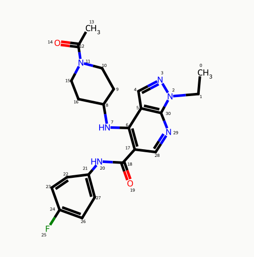 CCn1ncc2c(NC3CCN(C(C)=O)CC3)c(C(=O)Nc3ccc(F)cc3)cnc21